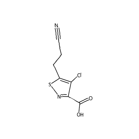 N#CCCc1snc(C(=O)O)c1Cl